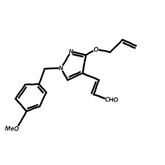 C=CCOc1nn(Cc2ccc(OC)cc2)cc1C=CC=O